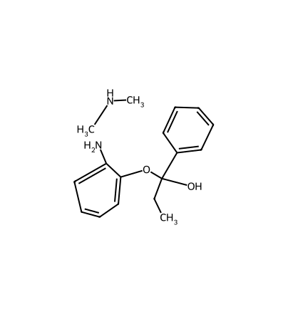 CCC(O)(Oc1ccccc1N)c1ccccc1.CNC